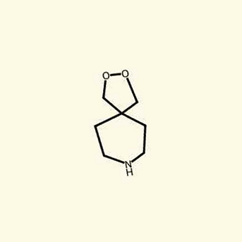 C1CC2(CCN1)COOC2